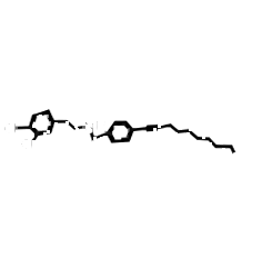 CCCCCCCCC#Cc1ccc(CNCCc2ccc(Cl)c(Cl)c2)cc1